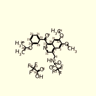 COc1cc2c(CNS(=O)(=O)C(F)(F)F)cnc(C(=O)c3cccc(OC(C)C)c3)c2cc1OC.O=C(O)C(F)(F)F